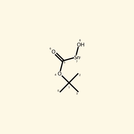 CC(C)(C)O[C](=O)[Sn][OH]